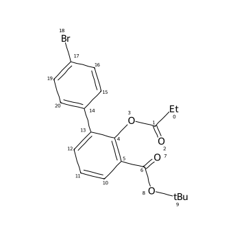 CCC(=O)Oc1c(C(=O)OC(C)(C)C)cccc1-c1ccc(Br)cc1